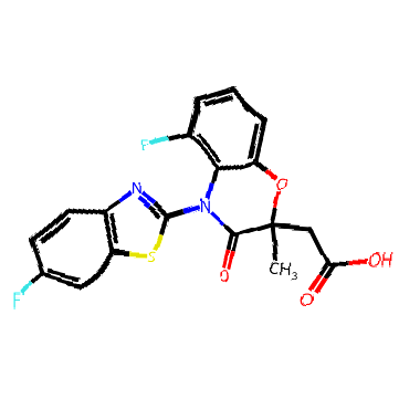 CC1(CC(=O)O)Oc2cccc(F)c2N(c2nc3ccc(F)cc3s2)C1=O